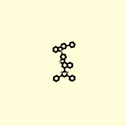 c1ccc(-c2ccc3c4ccccc4n(-c4ccc5c(c4)sc4cc(-c6nc(-c7ccccc7)cc(-c7ccccc7)n6)c6ccccc6c45)c3c2)cc1